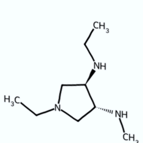 CCN[C@@H]1CN(CC)C[C@H]1NC